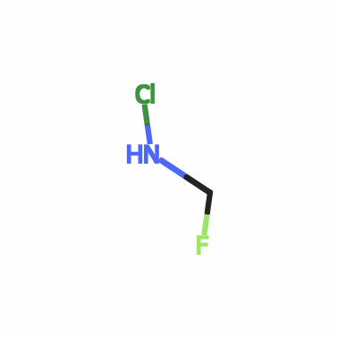 FCNCl